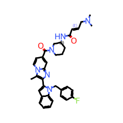 Cc1c(-c2cc3ccccc3n2Cc2ccc(F)cc2)nc2cc(C(=O)N3CCC[C@@H](NC(=O)/C=C/CN(C)C)C3)ccn12